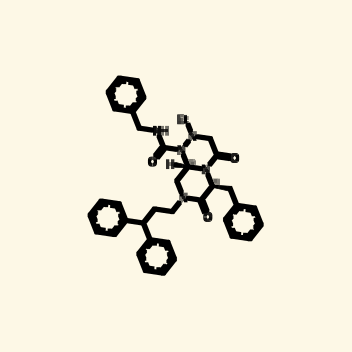 CCN1CC(=O)N2[C@@H](Cc3ccccc3)C(=O)N(CCC(c3ccccc3)c3ccccc3)C[C@@H]2N1C(=O)NCc1ccccc1